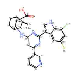 O=C(O)[C@H]1C2CCC(CC2)[C@@H]1Nc1cc(-c2cccnc2)nc(-c2c[nH]c3c(F)cc(F)cc23)n1